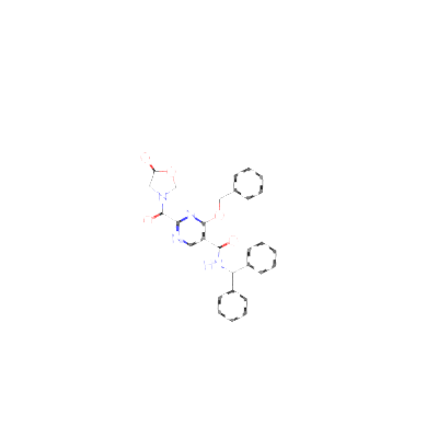 O=C1CN(C(=O)c2ncc(C(=O)NC(c3ccccc3)c3ccccc3)c(OCc3ccccc3)n2)CO1